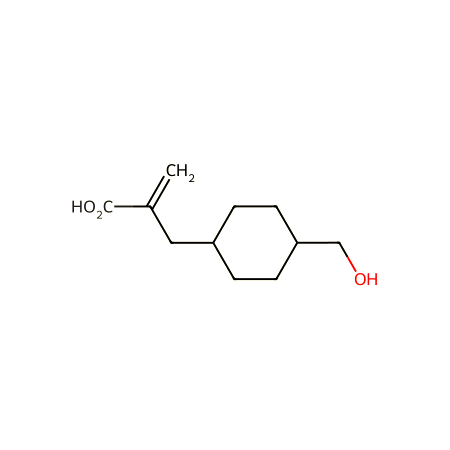 C=C(CC1CCC(CO)CC1)C(=O)O